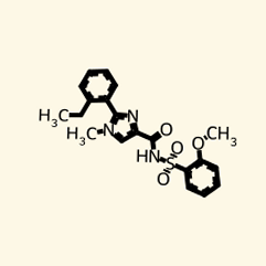 CCc1ccccc1-c1nc(C(=O)NS(=O)(=O)c2ccccc2OC)cn1C